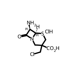 Cl.N[C@@H]1C(=O)N2CC(CCl)(C(=O)O)CS[C@H]12